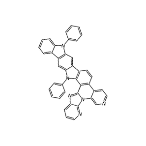 c1ccc(-n2c3ccccc3c3cc4c(cc32)c2ccc3c5ccncc5n5c6ncccc6nc5c3c2n4-c2ccccc2)cc1